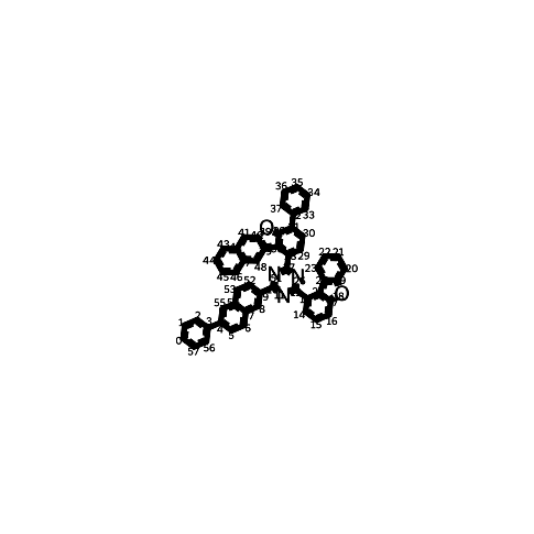 c1ccc(-c2ccc3cc(-c4nc(-c5cccc6oc7ccccc7c56)nc(-c5ccc(-c6ccccc6)c6oc7cc8ccccc8cc7c56)n4)ccc3c2)cc1